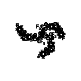 O=C(O[C@H](COP(=O)(OC[C@@H](OC(=O)N1CCC2(CC1)CN(S(=O)(=O)c1ccc(F)cc1)CCO2)C(F)(F)F)OC[C@@H](OC(=O)N1CCC2(CC1)CN(S(=O)(=O)c1ccc(F)cc1)CCO2)C(F)(F)F)C(F)(F)F)N1CCC2(CC1)CN(S(=O)(=O)c1ccc(F)cc1)CCO2